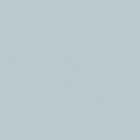 CC(F)(F)c1cc(N2CC(C=O)=C(c3cccc(Cl)c3)N2)cc(C(F)(F)F)c1